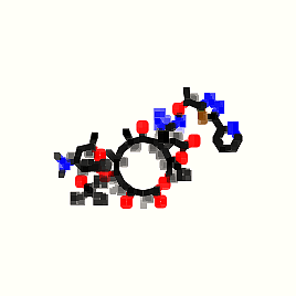 CC[C@@H]1OC(=O)[C@H](C)C(=O)[C@H](C)[C@@H](O[C@@H]2O[C@H](C)C[C@H](N(C)C)[C@H]2O[Si](CC)(CC)CC)[C@](C)(OC)C[C@@H](C)C(=O)[C@H](C)[C@H]2[C@H](/C(N)=N/O[C@@H](C)c3nnc(-c4ccccn4)s3)C(=O)O[C@@]21C